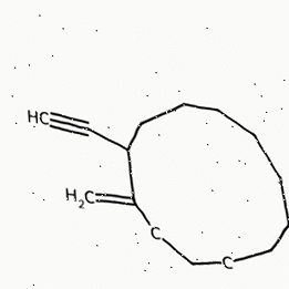 C#CC1CCCCCCCCCCC1=C